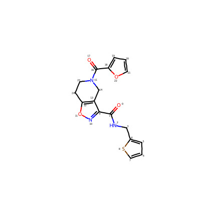 O=C(NCc1cccs1)c1noc2c1CN(C(=O)c1ccco1)CC2